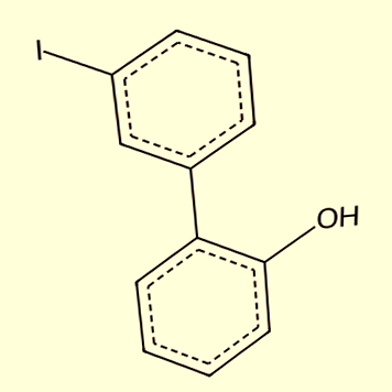 Oc1ccccc1-c1cccc(I)c1